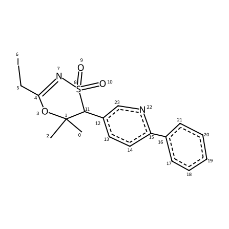 CC1(C)OC(CI)=NS(=O)(=O)C1c1ccc(-c2ccccc2)nc1